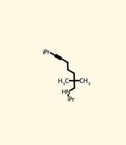 CC(C)C#CCCCC(C)(C)CNC(C)C